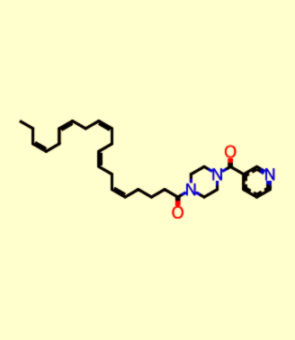 CC/C=C\C/C=C\C/C=C\C/C=C\C/C=C\CCCC(=O)N1CCN(C(=O)c2cccnc2)CC1